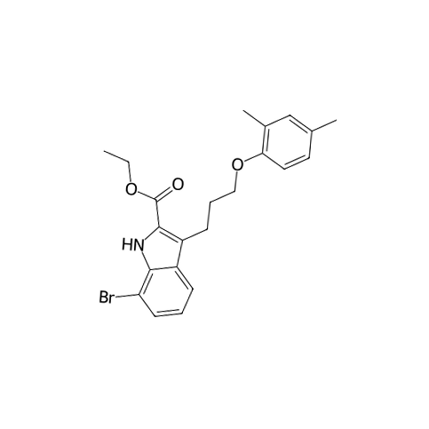 CCOC(=O)c1[nH]c2c(Br)cccc2c1CCCOc1ccc(C)cc1C